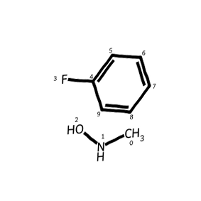 CNO.Fc1ccccc1